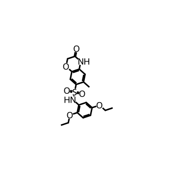 CCOc1ccc(OCC)c(NS(=O)(=O)c2cc3c(cc2C)NC(=O)CO3)c1